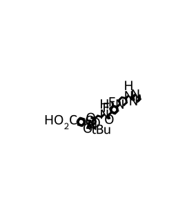 CC(C)(C)N(OC(=O)CCNC(=O)c1ccc(N2CCC(Nc3ncccn3)CC2)c(F)c1F)S(=O)(=O)c1ccc(C(=O)O)cc1